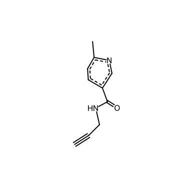 C#CCNC(=O)c1ccc(C)nc1